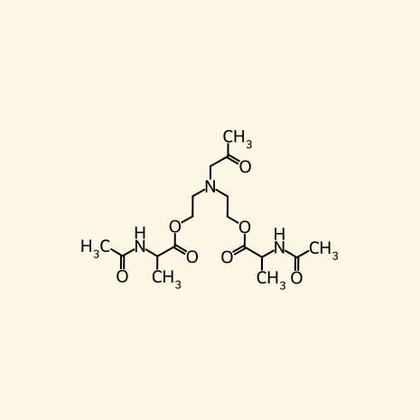 CC(=O)CN(CCOC(=O)C(C)NC(C)=O)CCOC(=O)C(C)NC(C)=O